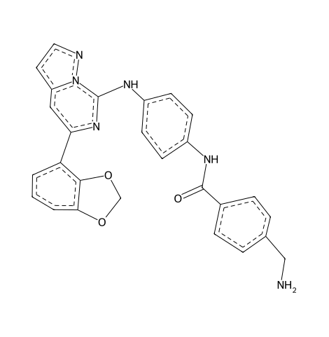 NCc1ccc(C(=O)Nc2ccc(Nc3nc(-c4cccc5c4OCO5)cc4ccnn34)cc2)cc1